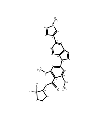 COc1cc(-n2cnc3cc(-c4cnn(C)c4)ccc32)cc(OC)c1C(=O)NC1CCCC1(F)F